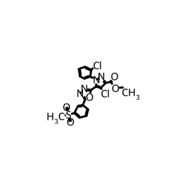 CCOC(=O)c1nn(-c2ccccc2Cl)c(-c2nnc(-c3cccc(S(C)(=O)=O)c3)o2)c1Cl